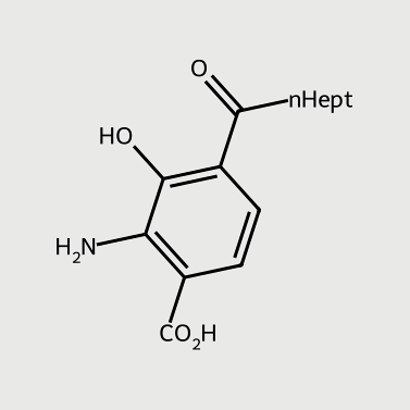 CCCCCCCC(=O)c1ccc(C(=O)O)c(N)c1O